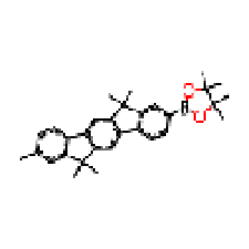 Cc1ccc2c(c1)C(C)(C)c1cc3c(cc1-2)C(C)(C)c1cc(B2OC(C)(C)C(C)(C)O2)ccc1-3